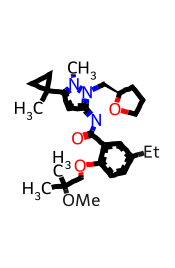 CCc1ccc(OCC(C)(C)OC)c(C(=O)/N=c2\cc(C3(C)CC3)n(C)n2C[C@H]2CCCO2)c1